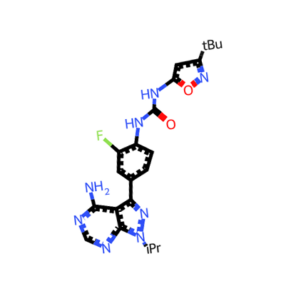 CC(C)n1nc(-c2ccc(NC(=O)Nc3cc(C(C)(C)C)no3)c(F)c2)c2c(N)ncnc21